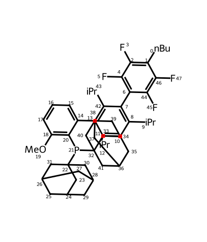 CCCCc1c(F)c(F)c(-c2c(C(C)C)cc(C(C)C)c(-c3cccc(OC)c3P(C34CC5CC(CC(C5)C3)C4)C34CC5CC(CC(C5)C3)C4)c2C(C)C)c(F)c1F